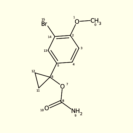 COc1ccc(C2(OC(N)=O)CC2)cc1Br